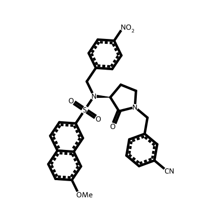 COc1ccc2ccc(S(=O)(=O)N(Cc3ccc([N+](=O)[O-])cc3)[C@H]3CCN(Cc4cccc(C#N)c4)C3=O)cc2c1